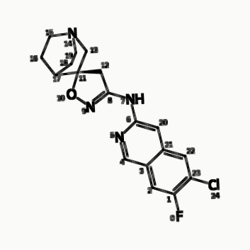 Fc1cc2cnc(NC3=NO[C@@]4(C3)CN3CCC4CC3)cc2cc1Cl